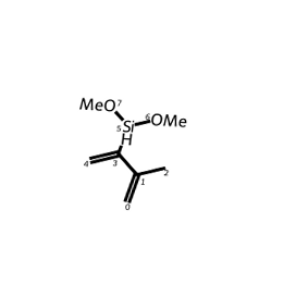 C=C(C)C(=C)[SiH](OC)OC